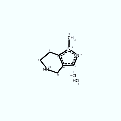 Cl.Cl.Cn1ncc2c1CCNC2